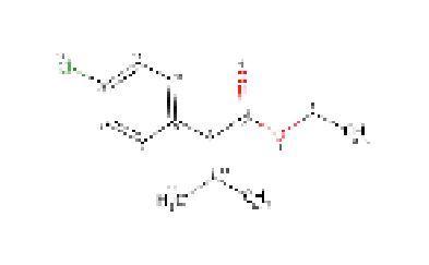 CCOC(=O)C(c1ccc(Cl)cc1)C(C)C